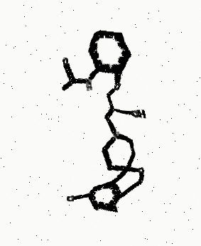 CC(=O)Nc1ccccc1OC[C@@H](O)CN1CCC2(CC1)OCc1ccc(Cl)cc12